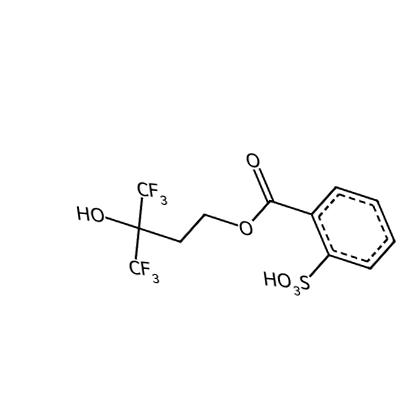 O=C(OCCC(O)(C(F)(F)F)C(F)(F)F)c1ccccc1S(=O)(=O)O